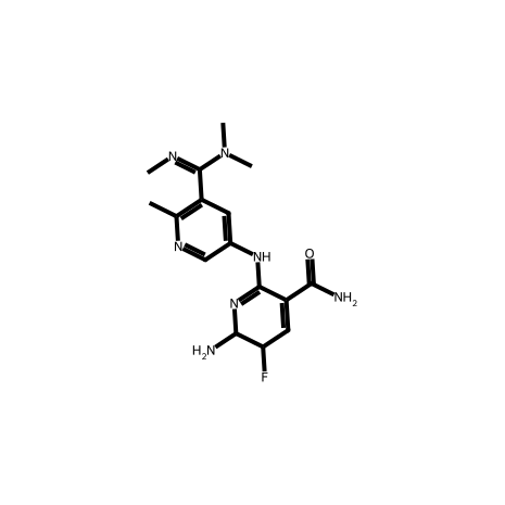 C/N=C(\c1cc(NC2=NC(N)C(F)C=C2C(N)=O)cnc1C)N(C)C